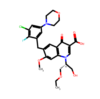 CCOC[C@@H](CO)n1cc(C(=O)O)c(=O)c2cc(Cc3cc(N4CCOCC4)cc(Cl)c3F)c(OC)cc21